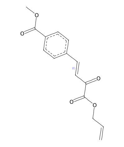 C=CCOC(=O)C(=O)/C=C/c1ccc(C(=O)OC)cc1